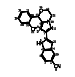 N#Cc1ccc2[nH]c(-c3nc4n(n3)CCOC4c3ccccc3C(F)(F)F)cc2c1